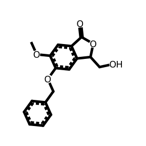 COc1cc2c(cc1OCc1ccccc1)C(CO)OC2=O